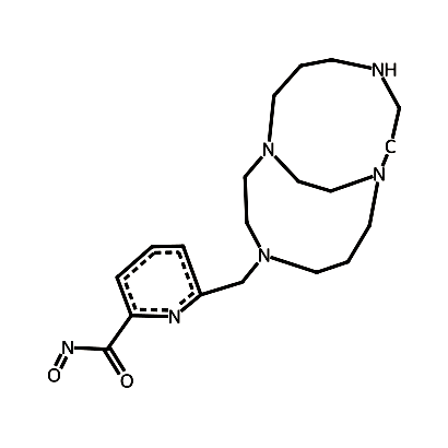 O=NC(=O)c1cccc(CN2CCCN3CCNCCCN(CC3)CC2)n1